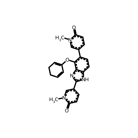 Cn1cc(-c2nc3c(OC4=CCCC=C4)c(-c4ccc(=O)n(C)c4)ccc3[nH]2)ccc1=O